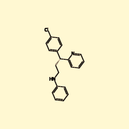 Clc1ccc([C@@H](CCNc2ccccc2)c2ccccn2)cc1